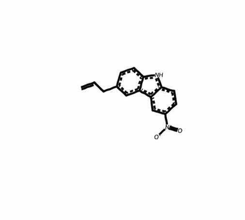 C=CCc1ccc2[nH]c3ccc([N+](=O)[O-])cc3c2c1